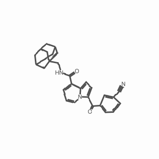 N#Cc1cccc(C(=O)c2ccc3c(C(=O)NCC45CC6CC(CC(C6)C4)C5)cccn23)c1